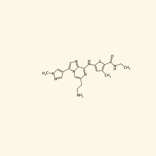 CCNC(=O)c1sc(Nc2nc(CCN)cn3c(-c4cnn(C)c4)cnc23)cc1C